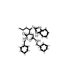 CCCC(Sc1nc2ccccc2[nH]1)C(CC(=O)NCc1ccccc1)C(=O)NCc1ccccc1